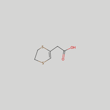 O=C(O)CC1=CSCCS1